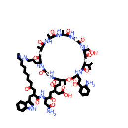 CCCCCCCCCC(=O)CC(Cc1c[nH]c2ccccc12)C(=O)NC(CC(N)=O)C(=O)CC(CC(=O)O)C(=O)CC1C(=O)NCC(=O)NC(CCCN)C(=O)CC(C)C(=O)NC(C)C(=O)NC(C)C(=O)NCC(=O)NC(CO)C(=O)CC(C(C)C)C(=O)NC(CC(=O)c2ccccc2N)C(=O)OC1C